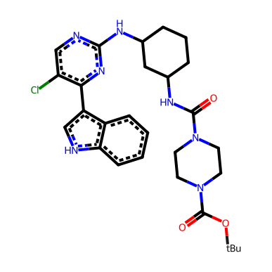 CC(C)(C)OC(=O)N1CCN(C(=O)NC2CCCC(Nc3ncc(Cl)c(-c4c[nH]c5ccccc45)n3)C2)CC1